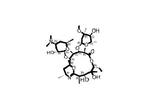 CC[C@H]1OC(=O)[C@H](C)[C@@H](O[C@H]2C[C@@](C)(OC)[C@@H](O)[C@H](C)O2)[C@H](C)[C@@H](O[C@@H]2O[C@H](C)C[C@H](N(C)C)[C@H]2O)[C@@]2(C)C[C@@H](C)N=C(O2)[C@H](C)[C@@H](O)C1(C)O